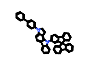 c1ccc(-c2ccc(-n3ccc4c3ccc3c5ccccc5n(-c5ccc6c(c5)C5(c7ccccc7-c7ccccc75)c5ccccc5-6)c34)cc2)cc1